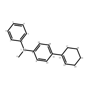 CN(c1ccccc1)c1ccc(C2=CCCCC2)cc1